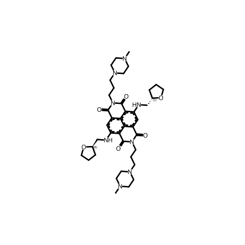 CN1CCN(CCCN2C(=O)c3cc(NC[C@@H]4CCCO4)c4c5c(cc(NC[C@H]6CCCO6)c(c35)C2=O)C(=O)N(CCCN2CCN(C)CC2)C4=O)CC1